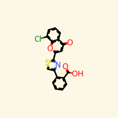 O=C(O)c1ccccc1-c1csc(-c2cc(=O)c3cccc(Cl)c3o2)n1